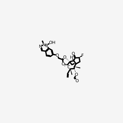 C=C[C@]1(C)C[C@@H](OC(=O)COc2ccc3c(c2)B(O)N(C)N=C3)[C@]2(C)[C@H](C)CC[C@]3(C[C@H](F)C(=O)[C@H]32)[C@@H](C)[C@@H]1OC=O